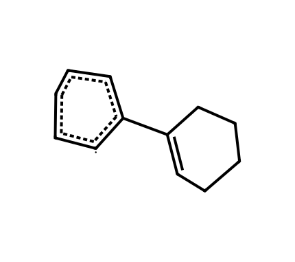 [c]1ccccc1C1=CCCCC1